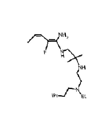 C/C=C\C(F)=C(/N)NCC(C)(C)NCCN(CC)CCC(C)C